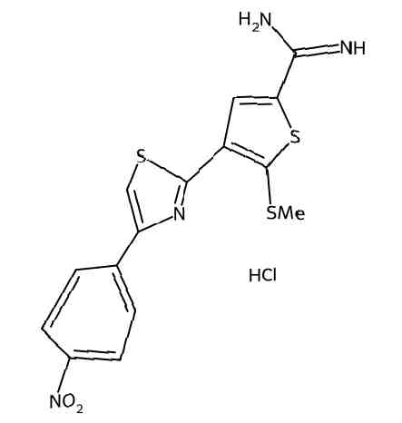 CSc1sc(C(=N)N)cc1-c1nc(-c2ccc([N+](=O)[O-])cc2)cs1.Cl